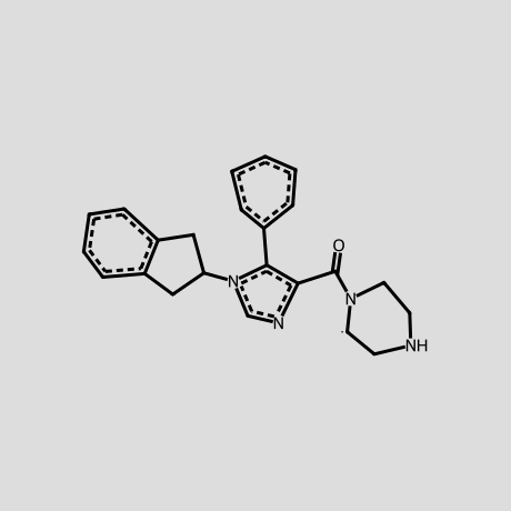 O=C(c1ncn(C2Cc3ccccc3C2)c1-c1ccccc1)N1[CH]CNCC1